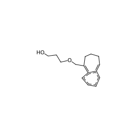 OCCCOCC1=c2ccccc2=CCCC1